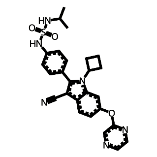 CC(C)NS(=O)(=O)Nc1ccc(-c2c(C#N)c3ccc(Oc4cnccn4)cc3n2C2CCC2)cc1